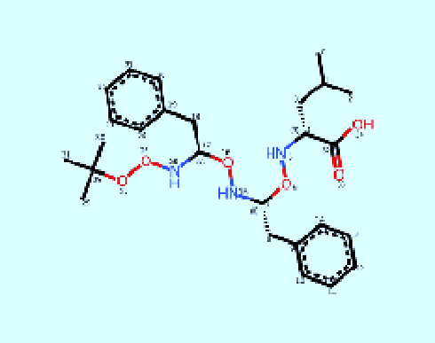 CC(C)C[C@@H](NO[C@H](Cc1ccccc1)NO[C@H](Cc1ccccc1)NOOC(C)(C)C)C(=O)O